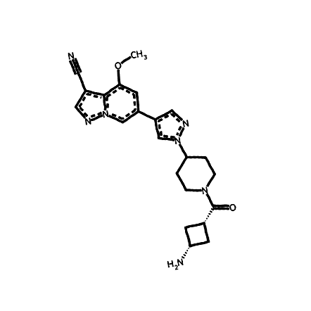 COc1cc(-c2cnn(C3CCN(C(=O)[C@H]4C[C@@H](N)C4)CC3)c2)cn2ncc(C#N)c12